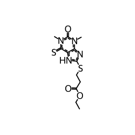 CCOC(=O)CCSc1nc2c([nH]1)c(=S)n(C)c(=O)n2C